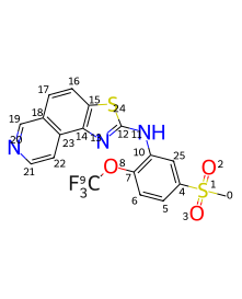 CS(=O)(=O)c1ccc(OC(F)(F)F)c(Nc2nc3c(ccc4cnccc43)s2)c1